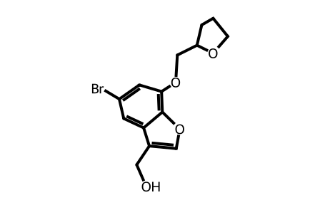 OCc1coc2c(OCC3CCCO3)cc(Br)cc12